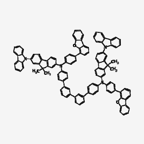 CC1(C)c2cc(N(c3ccc(-c4cccc(-c5cccc(-c6ccc(N(c7ccc(-c8cccc9c8oc8ccccc89)cc7)c7ccc8c(c7)C(C)(C)c7cc(-n9c%10ccccc%10c%10ccccc%109)ccc7-8)cc6)c5)c4)cc3)c3ccc(-c4cccc5c4oc4ccccc45)cc3)ccc2-c2ccc(-n3c4ccccc4c4ccccc43)cc21